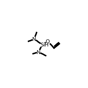 C=CO[SiH](N(C)C)N(C)C